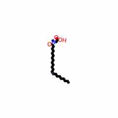 CCCCCCCC/C=C\CCCCCCCCCCCC(=O)N(C)CC(=O)O